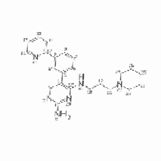 Nc1ncc(-c2cccc(-c3ccccn3)c2)c(NCCCN2CCCCC2)n1